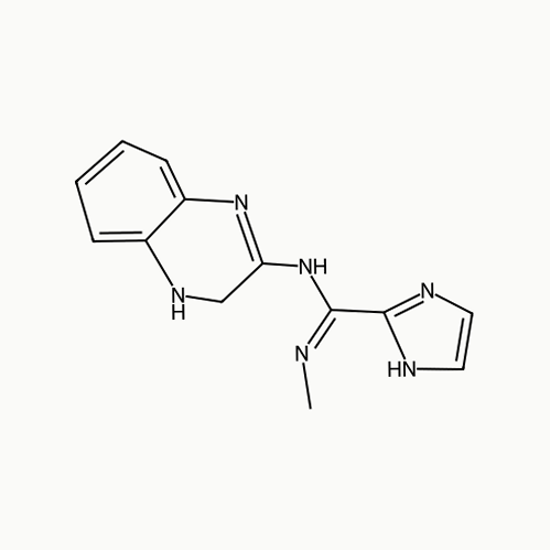 CN=C(NC1=Nc2ccccc2NC1)c1ncc[nH]1